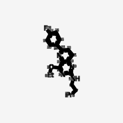 CCOc1nc(NCCC(C)C)nc2ccc(-c3ccc(F)cc3)nc12